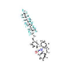 O=C(c1ccc(CCC(F)(F)C(F)(F)C(F)(F)C(F)(F)C(F)(F)C(F)(F)C(F)(F)C(F)(F)F)cc1)N1c2ccccc2C=Cc2ccccc21